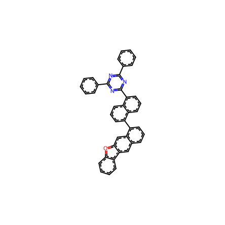 c1ccc(-c2nc(-c3ccccc3)nc(-c3cccc4c(-c5cccc6cc7c(cc56)oc5ccccc57)cccc34)n2)cc1